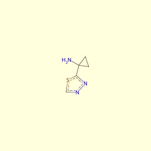 NC1(c2nncs2)CC1